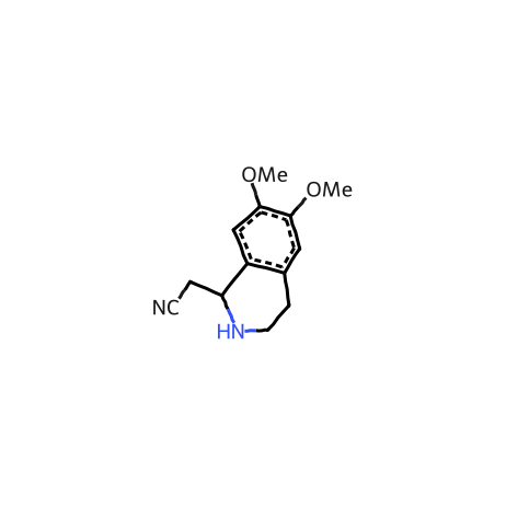 COc1cc2c(cc1OC)C(CC#N)NCC2